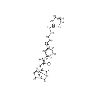 O=C(CC12CC3CC(CC(C3)C1)C2)Nc1cccc(OCCCCN2CCNCC2)c1